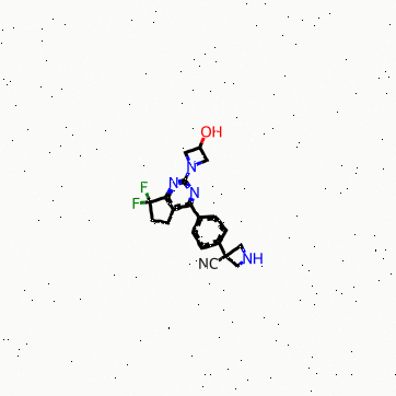 N#CC1(c2ccc(-c3nc(N4CC(O)C4)nc4c3CCC4(F)F)cc2)CNC1